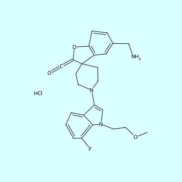 COCCn1cc(N2CCC3(CC2)C(=C=O)Oc2ccc(CN)cc23)c2cccc(F)c21.Cl